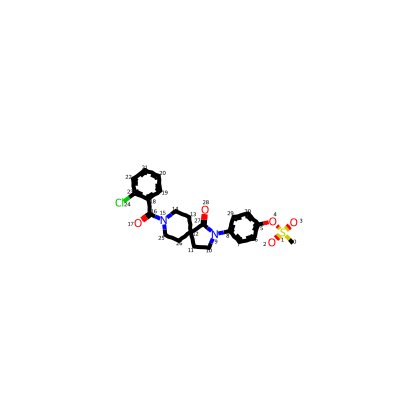 CS(=O)(=O)Oc1ccc(N2CCC3(CCN(C(=O)c4ccccc4Cl)CC3)C2=O)cc1